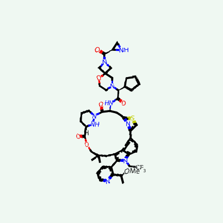 CO[C@@H](C)c1ncccc1-c1c2c3cc(ccc3n1CC(F)(F)F)-c1csc(n1)C[C@H](NC(=O)[C@H](C1CCCC1)N1CCOC3(CN(C(=O)[C@H]4CN4)C3)C1)C(=O)N1CCC[C@H](N1)C(=O)OCC(C)(C)C2